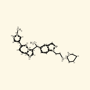 CC(c1ccc2c(cnn2CCO[C@H]2CCCCO2)c1)c1cnc2ccc(-c3cnn(C)c3)nn12